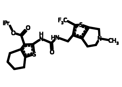 CC(C)OC(=O)c1c(NC(=O)NCc2c(C(F)(F)F)sc3c2CCN(C)C3)sc2c1CCCC2